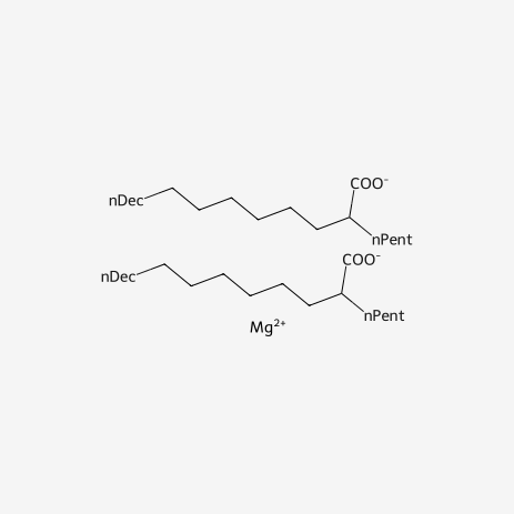 CCCCCCCCCCCCCCCCC(CCCCC)C(=O)[O-].CCCCCCCCCCCCCCCCC(CCCCC)C(=O)[O-].[Mg+2]